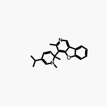 Cc1ncc2c(oc3ccccc32)c1C1(C)C=CC(C(C)C)=CN1C